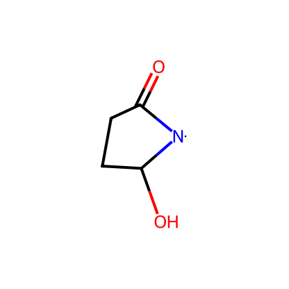 O=C1CCC(O)[N]1